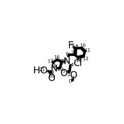 COC(=O)CN(Cc1c(F)cccc1Cl)[C@H]1CCN(C(=O)O)C1